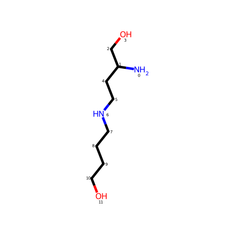 NC(CO)CCNCCCCO